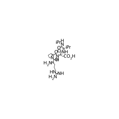 CC(C)NC(=O)[C@@H](NC(=O)[C@H](CC(=O)O)NC(=O)[C@@H]1CCCN1C(=O)[C@@H](N)CCCNC(=N)N)C(C)C